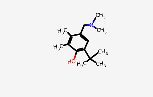 Cc1c(CN(C)C)cc(C(C)(C)C)c(O)c1C